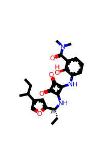 CCC(C)c1coc([C@@H](CC)Nc2c(Nc3cccc(C(=O)N(C)C)c3O)c(=O)c2=O)c1